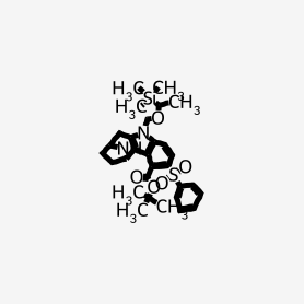 CC(OCn1c2c(c3c(C(=O)OC(C)(C)C)c(S(=O)(=O)c4ccccc4)ccc31)C1CCC(C2)N1)[Si](C)(C)C